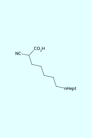 CCCCCCCCCCCCC(C#N)C(=O)O